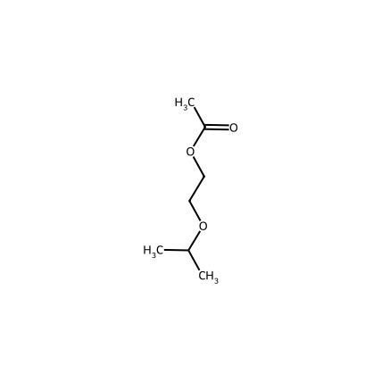 CC(=O)OCCOC(C)C